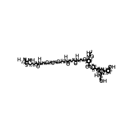 C=CC(=O)Nc1ccc(C(=O)N2CC=C(c3cc4nc(-c5cccc(O)c5)nc(NCCO)c4s3)CC2)cc1OCCCNC(=O)CCCC(=O)NCCCOCCOCCOCCCNC(=O)CCCC[C@H]1SCC(N)[C@H]1N